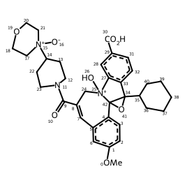 COc1ccc2c(c1)C=C(C(=O)N1CCC([N+]3([O-])CCOCC3)CC1)C[N+]1(O)c3cc(C(=O)O)ccc3C3(C4CCCCC4)OC231